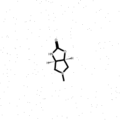 CN1C[C@@H]2OC(=O)N[C@@H]2C1